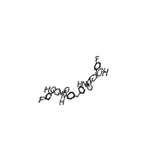 O=C(Nc1ccc(Cc2ccc(NC(=O)N3CCC(O)(c4ccc(F)cc4)CC3)cc2)cc1)N1CCC(O)(c2ccc(F)cc2)CC1